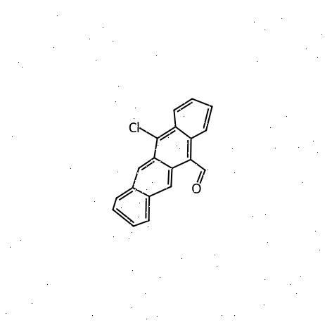 O=Cc1c2ccccc2c(Cl)c2cc3ccccc3cc12